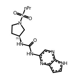 CCCS(=O)(=O)N1CC[C@H](NC(=O)Nc2cnc3[nH]ccc3n2)C1